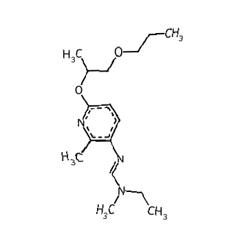 CCCOCC(C)Oc1ccc(N=CN(C)CC)c(C)n1